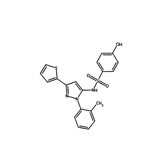 Cc1ccccc1-n1nc(-c2cccs2)cc1NS(=O)(=O)c1ccc(O)cc1